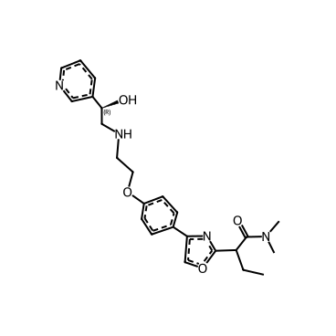 CCC(C(=O)N(C)C)c1nc(-c2ccc(OCCNC[C@H](O)c3cccnc3)cc2)co1